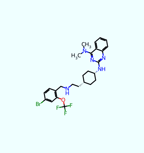 CN(C)c1nc(N[C@H]2CC[C@@H](CCNCc3ccc(Br)cc3OC(F)(F)F)CC2)nc2ccccc12